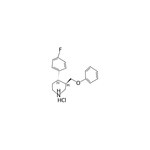 Cl.Fc1ccc([C@H]2CCNC[C@@H]2COc2ccccc2)cc1